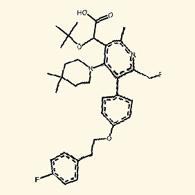 Cc1nc(CF)c(-c2ccc(OCCc3ccc(F)cc3)cc2)c(N2CCC(C)(C)CC2)c1C(OC(C)(C)C)C(=O)O